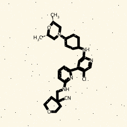 C[C@@H]1CN(C2CCC(Nc3cc(-c4cccc(NCC5(C#N)CCOCC5)n4)c(Cl)cn3)CC2)C[C@H](C)O1